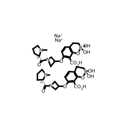 CN1CCC[C@H]1C(=O)N1CC(Oc2ccc3c(c2C(=O)O)O[B-](O)(O)CC3)C1.CN1CCC[C@H]1C(=O)N1CC(Oc2ccc3c(c2C(=O)O)O[B-](O)(O)CC3)C1.[Na+].[Na+]